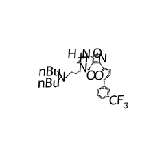 CCCCN(CCCC)CCCNC(=O)c1c(-c2ccc(-c3cccc(C(F)(F)F)c3)o2)noc1N